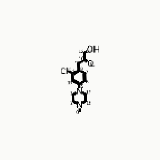 CN1CCN(c2ccc(CC(=O)CO)c(Cl)c2)CC1